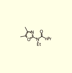 CCCC(=O)N(CC)c1nc(C)c(C)o1